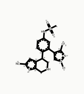 CCn1cc(-c2cc(NS(C)(=O)=O)ccc2C2CNCc3sc(C#N)cc32)c(C(F)(F)F)n1